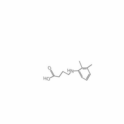 Cc1cccc(NCCCC(=O)O)c1C